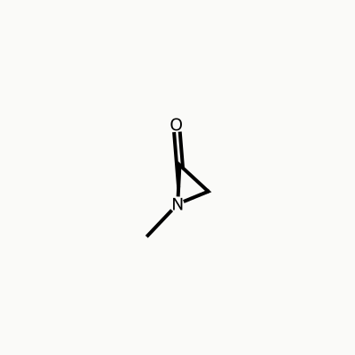 CN1CC1=O